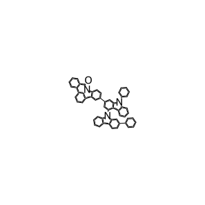 O=c1c2ccccc2c2cccc3c4cc(-c5cc(-n6c7ccccc7c7ccc(-c8ccccc8)cc76)c6c7ccccc7n(-c7ccccc7)c6c5)ccc4n1c23